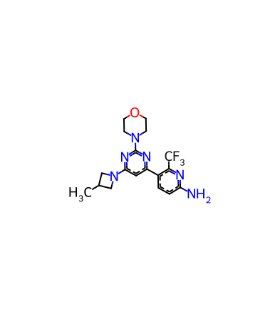 CC1CN(c2cc(-c3ccc(N)nc3C(F)(F)F)nc(N3CCOCC3)n2)C1